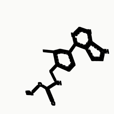 Cc1cc(-c2ncnc3[nH]ccc23)ccc1CNC(=O)OC(C)(C)C